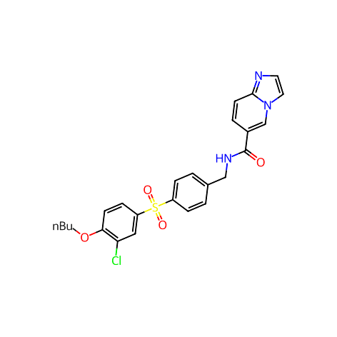 CCCCOc1ccc(S(=O)(=O)c2ccc(CNC(=O)c3ccc4nccn4c3)cc2)cc1Cl